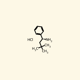 CC(C)(C)C[C@H](N)c1ccccc1.Cl